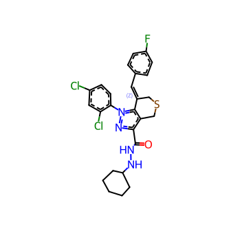 O=C(NNC1CCCCC1)c1nn(-c2ccc(Cl)cc2Cl)c2c1CSC/C2=C\c1ccc(F)cc1